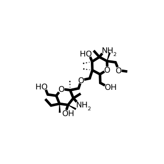 CC[C@]1(C)C(CO)O[C@@](C)(COC[C@]2(C)C(CO)O[C@@](C)(COC)C(C)(N)[C@]2(C)O)C(C)(N)[C@]1(C)O